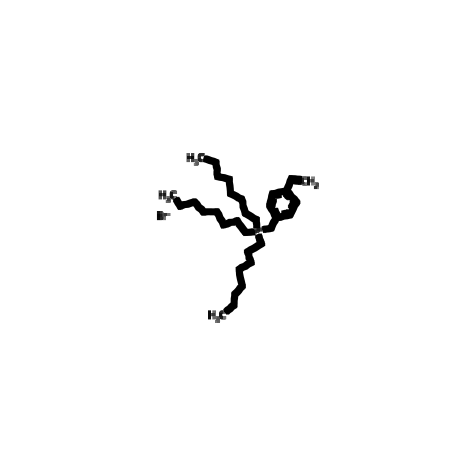 C=Cc1ccc(C[P+](CCCCCCCC)(CCCCCCCC)CCCCCCCC)cc1.[Br-]